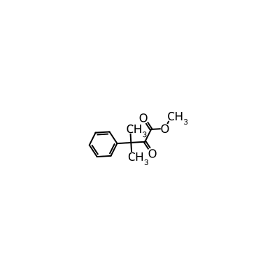 COC(=O)C(=O)C(C)(C)c1ccccc1